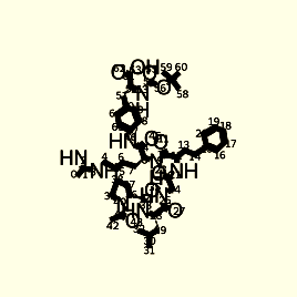 CC(=N)NCCCC[C@H](NC(=O)C(CCc1ccccc1)NC(=O)CNC(=O)[C@H](CC(C)C)NC(=O)[C@@H]1CCCN1C(C)=O)C(=O)Nc1ccc(C[C@@H](NC(=O)OC(C)(C)C)C(=O)O)cc1